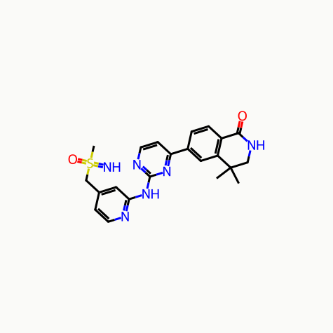 CC1(C)CNC(=O)c2ccc(-c3ccnc(Nc4cc(CS(C)(=N)=O)ccn4)n3)cc21